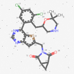 CC1(C)CNCC(Cc2c(Cl)cc(Cl)cc2-c2ncnc3cc(CN4C(=O)C5CC5C4=O)sc23)O1